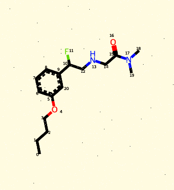 CCCCOc1cccc(C(F)CNCC(=O)N(C)C)c1